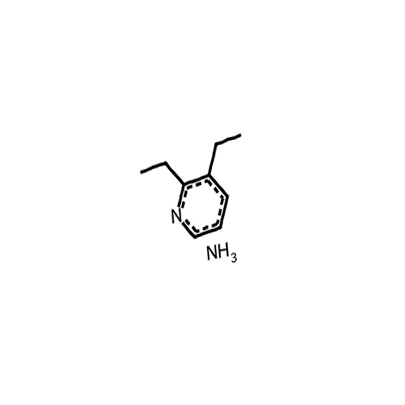 CCc1cccnc1CC.N